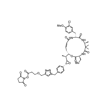 COc1ccc(C[C@H]2NC(=O)C=CC[C@@H]([C@H](C)[C@H]3O[C@@H]3c3ccc(Cn4cc(COCCC(=O)ON5C(=O)CCC5=O)nn4)cc3)OC(=O)[C@H](CC(C)(C)C)NC(=O)C(C)(C)[C@H](C)NC2=O)cc1Cl